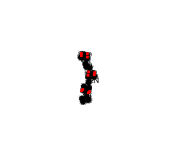 N#Cc1cc(-c2cccc3c2-c2ccccc2C32c3ccccc3Oc3c(-c4nc(-c5cccc6ccccc56)c5ccccc5n4)cccc32)ccc1-c1cccc2c1Oc1ccccc1C21c2ccccc2-c2c(-c3ccnc4c3ccc3ccc(-c5cccc6c5Oc5ccccc5C65c6ccccc6-c6ccccc65)nc34)cccc21